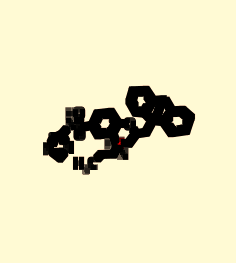 CCCNCC(CC12CCC(c3ccccc31)c1ccccc12)Oc1ccc(S(=O)(=O)Nc2ncns2)cc1C#N